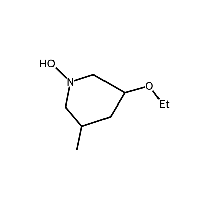 CCOC1CC(C)CN(O)C1